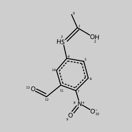 CC(O)=[SH]c1ccc([N+](=O)[O-])c(C=O)c1